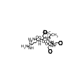 CC(C)CC[C@H](NC(=O)[C@H](Cc1ccccc1)NC(=O)OCc1ccccc1)C(=O)NC(Cc1ccccc1)C(=O)C(=O)N[C@@H](CCCNC(=N)N)C(N)=O